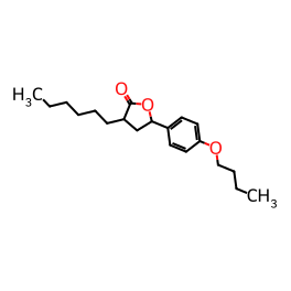 CCCCCCC1CC(c2ccc(OCCCC)cc2)OC1=O